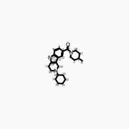 CC1CCN(C(=O)c2ccc3c(c2)C2=C(CCN(C4CCCCC4)C2)[N]3)CC1